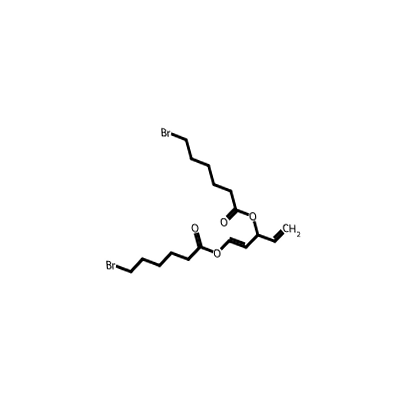 C=CC(C=COC(=O)CCCCCBr)OC(=O)CCCCCBr